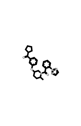 CC1CCC(Oc2cccc(C(=O)C3CCCC3)c2)CN1C(=O)c1ccccc1-n1nccn1